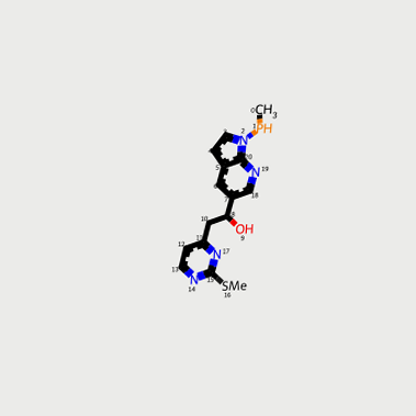 CPn1ccc2cc(C(O)Cc3ccnc(SC)n3)cnc21